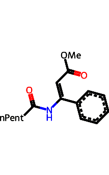 CCCCCC(=O)NC(=CC(=O)OC)c1ccccc1